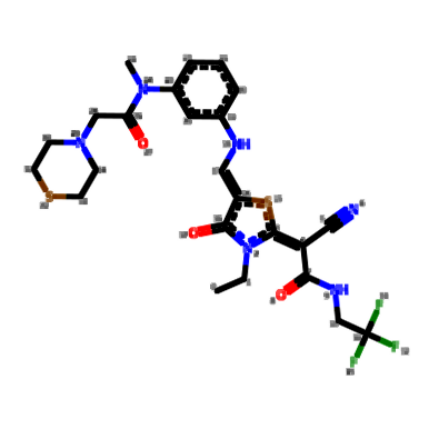 CCn1c(=C(C#N)C(=O)NCC(F)(F)F)sc(=CNc2cccc(N(C)C(=O)CN3CCSCC3)c2)c1=O